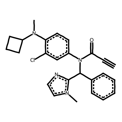 C#CC(=O)N(c1ccc(N(C)C2CCC2)c(Cl)c1)C(c1ccccc1)c1nccn1C